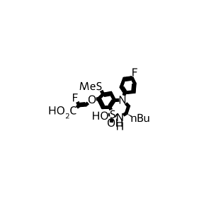 CCCC[C@H]1CN(c2ccc(F)cc2)c2cc(SC)c(O/C=C(\F)C(=O)O)cc2S(O)(O)N1